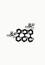 [O-][Cl+3]([O-])([O-])O.[O-][Cl+3]([O-])([O-])O.c1ccc(-c2ccccn2)nc1.c1ccc(-c2ccccn2)nc1.c1ccc(-c2ccccn2)nc1